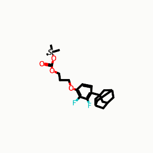 C[Si](C)(C)OC(=O)OCCCOc1ccc(C23CC4CC(CC(C4)C2)C3)c(F)c1F